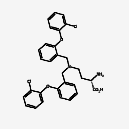 N[C@@H](CCN(Cc1ccccc1Oc1ccccc1Cl)Cc1ccccc1Oc1ccccc1Cl)C(=O)O